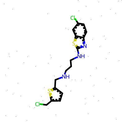 ClCc1ccc(CNCCCNc2nc3ccc(Cl)cc3s2)s1